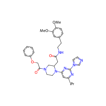 COc1ccc(CCNC(=O)CC2CN(C(=O)COc3ccccc3)CCN2c2cc(C(C)C)nc(-n3ccnc3)n2)cc1OC